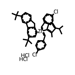 CC1=[C]([Zr](=[CH]c2ccc(Cl)cc2)(=[CH]c2ccc(Cl)cc2)[c]2cc(C(C)(C)C)cc3c2Cc2ccc(C(C)(C)C)cc2-3)C(C)C=C1C(C)C.Cl.Cl